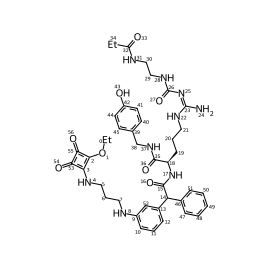 CCOc1c(NCCCNc2cccc(C(C(=O)N[C@H](CCCN/C(N)=N\C(=O)NCCNC(=O)CC)C(=O)NCc3ccc(O)cc3)c3ccccc3)c2)c(=O)c1=O